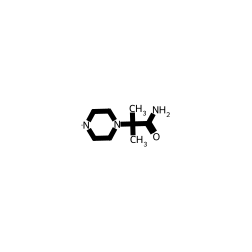 CC(C)(C(N)=O)N1CC[N]CC1